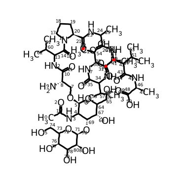 CC(=O)NC1[C@@H](OC[C@H](N)C(=O)NC(C(=O)N2CCC[C@H]2C(=O)NC(C)C(=O)N[C@@H](C)C(=O)NC(C(=O)N[C@H](C(=O)NC(C(=O)N[C@@H](C)C(=O)O)C(C)C)C(C)C)C(C)C)C(C)C)OC(CO)[C@H](O)[C@@H]1O[C@@H]1OC(CO)[C@H](O)C(O)[C@@H]1O